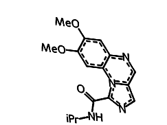 COc1cc2ncc3cnc(C(=O)NC(C)C)n3c2cc1OC